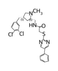 CN1C[C@@H](Cc2ccc(Cl)c(Cl)c2)C[C@H]1CNC(=O)CSc1ncc(-c2ccccc2)cn1